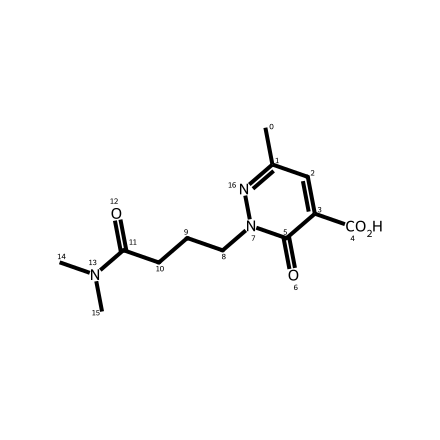 Cc1cc(C(=O)O)c(=O)n(CCCC(=O)N(C)C)n1